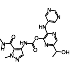 CNC(=O)c1c(NC(=O)Oc2nc(C(C)O)cnc2Nc2cncnc2)cnn1C